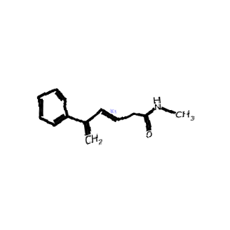 C=C(/C=C/CC(=O)NC)c1ccccc1